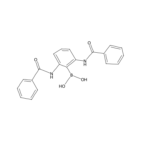 O=C(Nc1cccc(NC(=O)c2ccccc2)c1B(O)O)c1ccccc1